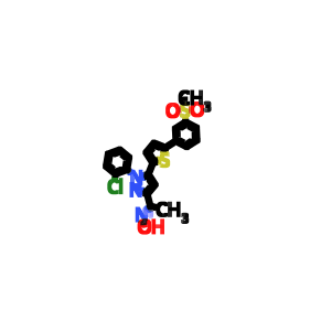 C/C(=N\O)c1cc(-c2ccc(-c3cccc(S(C)(=O)=O)c3)s2)n(-c2ccccc2Cl)n1